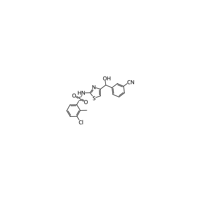 Cc1c(Cl)cccc1S(=O)(=O)Nc1nc(C(O)c2cccc(C#N)c2)cs1